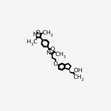 C=C(O)C[C@@H]1CCc2cc(OCCc3nc(-c4ccc(-c5c(C)noc5C)cc4)oc3C)ccc21